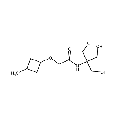 CC1CC(OCC(=O)NC(CO)(CO)CO)C1